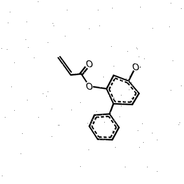 C=CC(=O)Oc1cc([O])ccc1-c1ccccc1